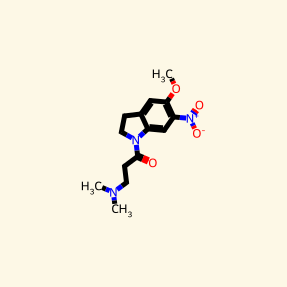 COc1cc2c(cc1[N+](=O)[O-])N(C(=O)CCN(C)C)CC2